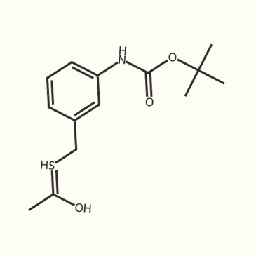 CC(O)=[SH]Cc1cccc(NC(=O)OC(C)(C)C)c1